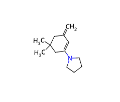 C=C1C=C(N2CCCC2)CC(C)(C)C1